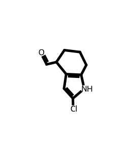 O=CC1CCCc2[nH]c(Cl)cc21